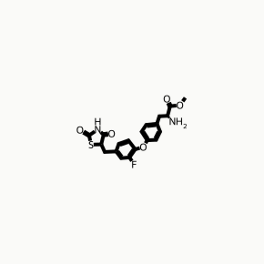 COC(=O)[C@@H](N)Cc1ccc(Oc2ccc(CC3SC(=O)NC3=O)cc2F)cc1